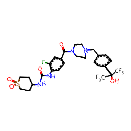 O=C(Nc1ccc(C(=O)N2CCN(Cc3ccc(C(O)(C(F)(F)F)C(F)(F)F)cc3)CC2)cc1F)NC1CCS(=O)(=O)CC1